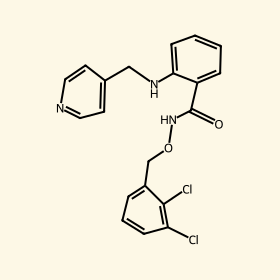 O=C(NOCc1cccc(Cl)c1Cl)c1ccccc1NCc1ccncc1